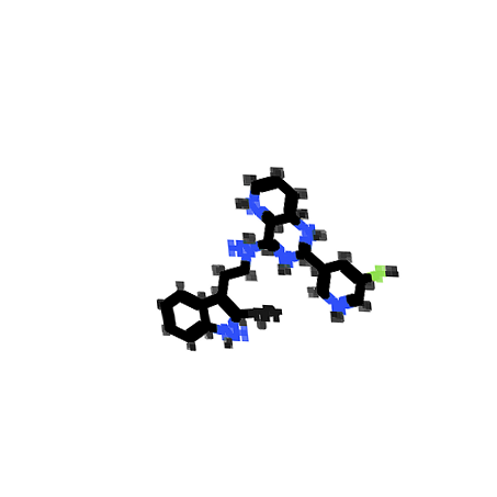 CCCc1[nH]c2ccccc2c1CCNc1nc(-c2cncc(F)c2)nc2cccnc12